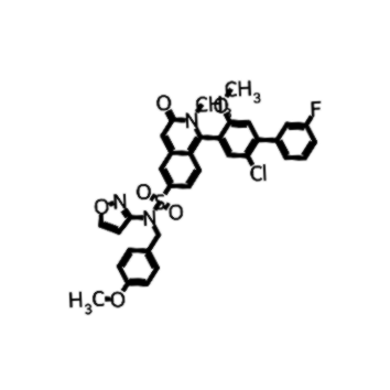 COc1ccc(CN(c2ccon2)S(=O)(=O)c2ccc3c(-c4cc(Cl)c(-c5cccc(F)c5)cc4OC)n(C)c(=O)cc3c2)cc1